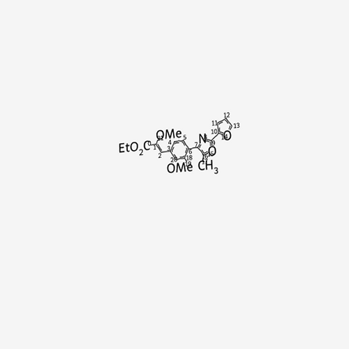 CCOC(=O)C(=Cc1ccc(-c2nc(-c3ccco3)oc2C)c(OC)c1)OC